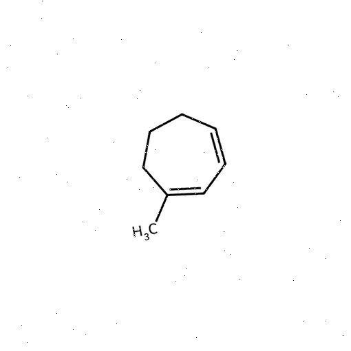 CC1=CC=CCCC1